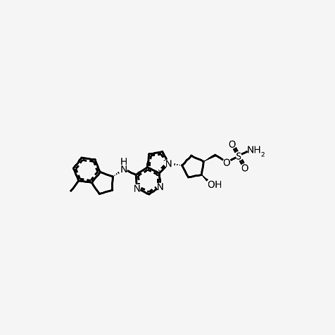 Cc1cccc2c1CC[C@H]2Nc1ncnc2c1ccn2[C@@H]1C[C@@H](COS(N)(=O)=O)[C@@H](O)C1